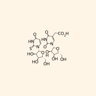 O=C(O)Cc1cn([C@@H]2O[C@H](CO)[C@@H](O)[C@H]2O)c(=O)[nH]c1=O.O=c1ccn([C@@H]2O[C@H](CO)[C@@H](O)[C@H]2O)c(=S)[nH]1